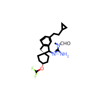 CN(C=O)/C(N)=N\C1c2cc(CCC3CC3)ccc2C[C@]12CC[C@@H](OC(F)F)CC2